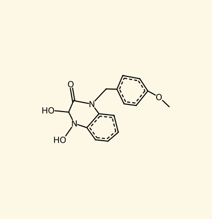 COc1ccc(CN2C(=O)C(O)N(O)c3ccccc32)cc1